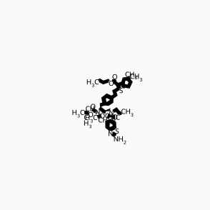 CCCCOC(=O)c1c(CCc2ccc(C[C@H]3[C@@H](CN(CC(C)C)S(=O)(=O)c4ccc5nc(N)sc5c4)OC(C)(C)N3C(=O)OC(C)(C)C)cc2)sc2c1CC(C)(C)CC2